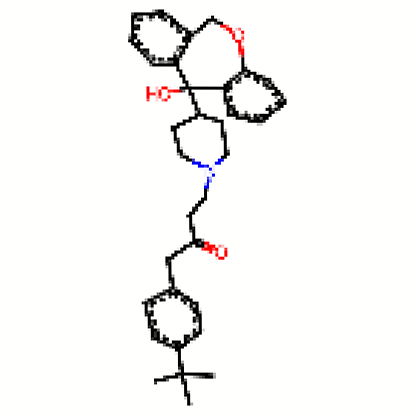 CC(C)(C)c1ccc(CC(=O)CCN2CCC(C3(O)c4ccccc4COc4ccccc43)CC2)cc1